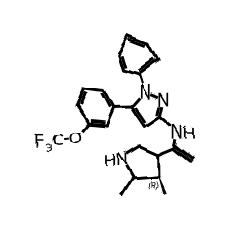 C=C(Nc1cc(-c2cccc(OC(F)(F)F)c2)n(-c2ccccc2)n1)C1CNC(C)[C@@H]1C